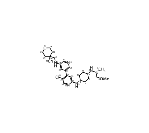 COC[C@@H](C)N[C@H]1CC[C@H](Nc2cc(-c3cncc(NCC4(C#N)CCOCC4)c3)c(Cl)cn2)CC1